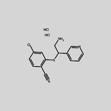 Cl.Cl.N#Cc1ccc(Cl)cc1SC(CN)c1cccnc1